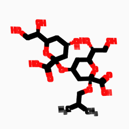 CC(C)CO[C@]1(C(=O)O)C[C@@H](O[C@]2(C(=O)O)C[C@@H](O)CC([C@H](O)CO)O2)CC([C@H](O)CO)O1